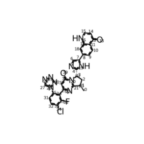 C[C@@H]1C[C@@H](c2ncc(-c3ccc4c(=O)cc[nH]c4c3)[nH]2)n2c1nc(-c1c(-n3cnnn3)ccc(Cl)c1F)cc2=O